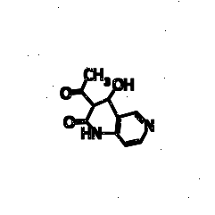 CC(=O)C1C(=O)Nc2ccncc2C1O